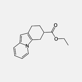 CCOC(=O)C1CCc2cc3ccccn3c2C1